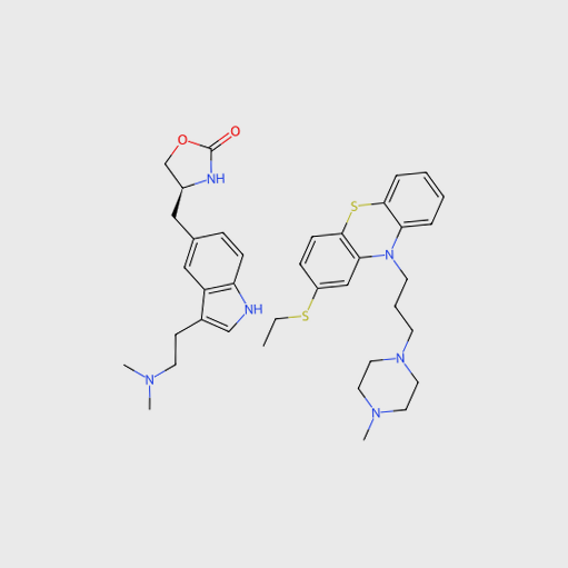 CCSc1ccc2c(c1)N(CCCN1CCN(C)CC1)c1ccccc1S2.CN(C)CCc1c[nH]c2ccc(C[C@H]3COC(=O)N3)cc12